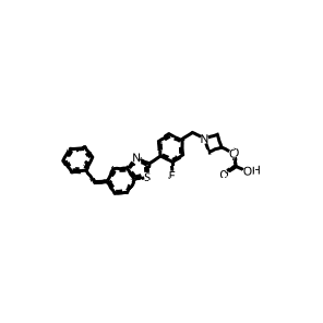 O=C(O)OC1CN(Cc2ccc(-c3nc4cc(Cc5ccccc5)ccc4s3)c(F)c2)C1